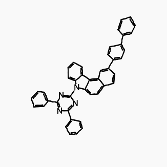 c1ccc(-c2ccc(-c3ccc4ccc5c(c4c3)c3ccccc3n5-c3nc(-c4ccccc4)nc(-c4ccccc4)n3)cc2)cc1